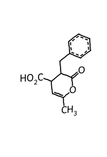 CC1=CC(C(=O)O)C(Cc2ccccc2)C(=O)O1